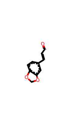 O=[C]/C=C/c1ccc2c(c1)OCO2